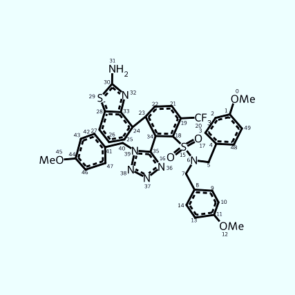 COc1ccc(CN(Cc2ccc(OC)cc2)S(=O)(=O)c2c(C(F)(F)F)ccc(-c3cccc4sc(N)nc34)c2-c2nnnn2Cc2ccc(OC)cc2)cc1